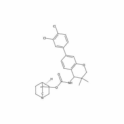 CC1(C)COc2cc(-c3ccc(Cl)c(Cl)c3)ccc2C1NC(=O)O[C@H]1CN2CCC1CC2